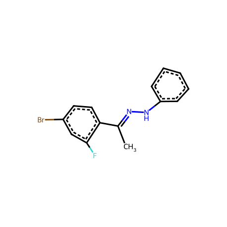 C/C(=N\Nc1ccccc1)c1ccc(Br)cc1F